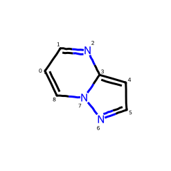 [c]1cnc2ccnn2c1